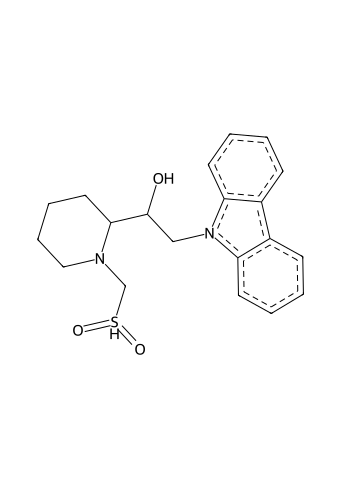 O=[SH](=O)CN1CCCCC1C(O)Cn1c2ccccc2c2ccccc21